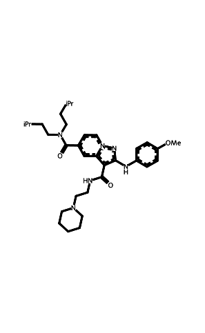 COc1ccc(Nc2nn3ccc(C(=O)N(CCC(C)C)CCC(C)C)cc3c2C(=O)NCCN2CCCCC2)cc1